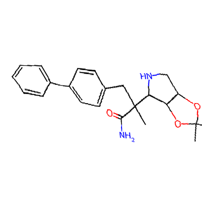 CC1(C)OC2CNC(C(C)(Cc3ccc(-c4ccccc4)cc3)C(N)=O)C2O1